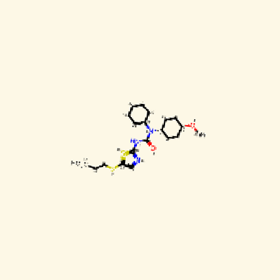 CCCO[C@H]1CC[C@H](N(C(=O)Nc2ncc(SCCC(=O)O)s2)C2CCCCC2)CC1